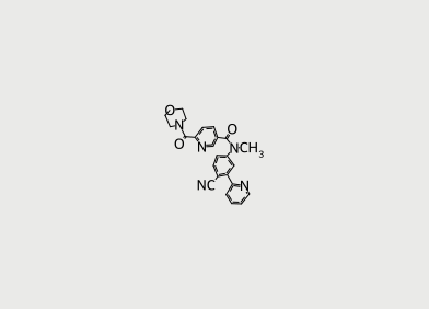 CN(C(=O)c1ccc(C(=O)N2CCOCC2)nc1)c1ccc(C#N)c(-c2ccccn2)c1